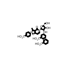 Cc1noc2ccn([C@@H]3O[C@H](CO)[C@@H](O)[C@H]3O)c(=O)c12.O=C(O)c1ccccc1.O=C(O)c1ccccc1.O=C(O)c1ccccc1